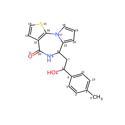 Cc1ccc(C(O)CC2NC(=O)c3ccsc3-n3cccc32)cc1